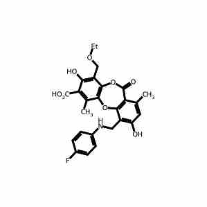 CCOCc1c(O)c(C(=O)O)c(C)c2c1OC(=O)c1c(C)cc(O)c(CNc3ccc(F)cc3)c1O2